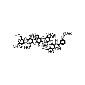 CCCCCCCCCCCOc1cccc(C(=O)NC2C(OC3C(O)C(NC(C)=O)[C@H](OC4C(CO)OC(OC5C(O)C(NC(C)=O)[C@H](OC6C(CO)OC(C)C(NC(C)=O)C6O)O[C@H]5CO)C(NC(C)=O)C4O)O[C@H]3CO)OC(CO)C(O)C2O)c1